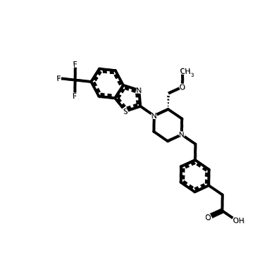 COC[C@@H]1CN(Cc2cccc(CC(=O)O)c2)CCN1c1nc2ccc(C(F)(F)F)cc2s1